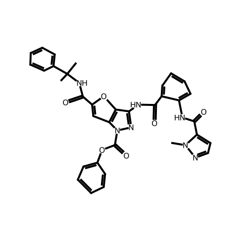 Cn1nccc1C(=O)Nc1ccccc1C(=O)Nc1nn(C(=O)Oc2ccccc2)c2cc(C(=O)NC(C)(C)c3ccccc3)oc12